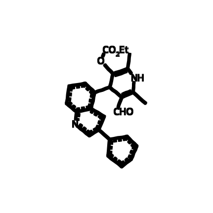 CCOC(=O)OC1=C(C)NC(C)=C(C=O)C1c1cccc2ncc(-c3ccccc3)cc12